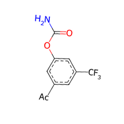 CC(=O)c1cc(OC(N)=O)cc(C(F)(F)F)c1